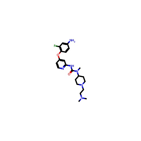 CN(C)CCN1CCC(N(C)C(=O)Nc2cc(Oc3ccc(N)cc3F)ccn2)CC1